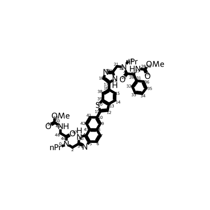 CCCN(Cc1nc2ccc3cc(-c4cc5ccc(-c6cnc(CN(CCC)C(=O)[C@H](NC(=O)OC)c7ccccc7)[nH]6)cc5s4)ccc3c2[nH]1)C(=O)CNC(=O)OC